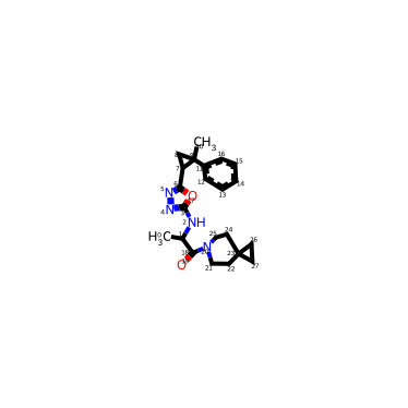 CC(Nc1nnc(C2CC2(C)c2ccccc2)o1)C(=O)N1CCC2(CC1)CC2